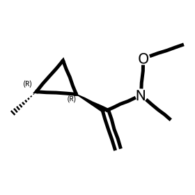 C=C([C@@H]1C[C@H]1C)N(C)OC